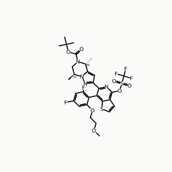 COCCOc1cc(F)cc(F)c1-c1c(-c2cc3n(n2)[C@@H](C)CN(C(=O)OC(C)(C)C)[C@@H]3C)nc(OS(=O)(=O)C(F)(F)F)c2ccsc12